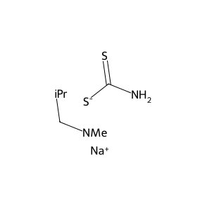 CNCC(C)C.NC(=S)[S-].[Na+]